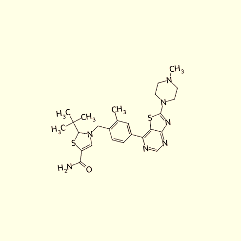 Cc1cc(-c2ncnc3nc(N4CCN(C)CC4)sc23)ccc1CN1C=C(C(N)=O)SC1C(C)(C)C